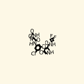 O=C(NC1CC(F)(F)C1)C1=CC(Oc2c(Cl)cc(NC(=O)c3noc(=O)[nH]3)cc2Cl)=CNC1